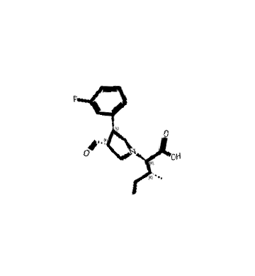 CC[C@@H](C)[C@H](C(=O)O)N1C[C@H](c2cccc(F)c2)[C@@H](C=O)C1